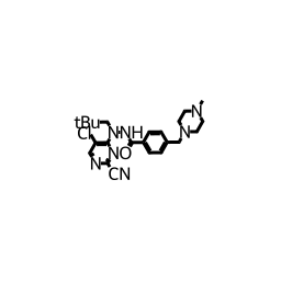 CN1CCN(Cc2ccc(C(=O)NN(CC(C)(C)C)c3nc(C#N)ncc3Cl)cc2)CC1